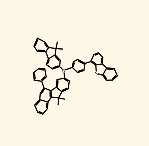 CC1(C)c2ccccc2-c2ccc(N(c3ccc(-c4cccc5c4sc4ccccc45)cc3)c3ccc4c(c3)-c3c(-c5ccccc5)cc5ccccc5c3C4(C)C)cc21